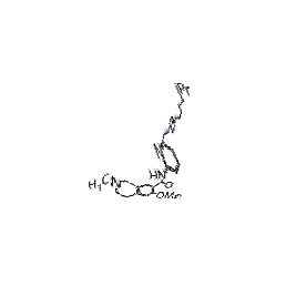 COc1cc2c(cc1C(=O)Nc1cccc(/C=N/N=C/CCC(C)C)n1)CN(C)CC2